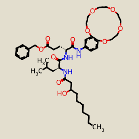 CCCCCCCC(O)CC(=O)N[C@@H](CC(C)C)C(=O)N[C@H](CCC(=O)OCc1ccccc1)C(=O)Nc1ccc2c(c1)OCCOCCOCCOCCO2